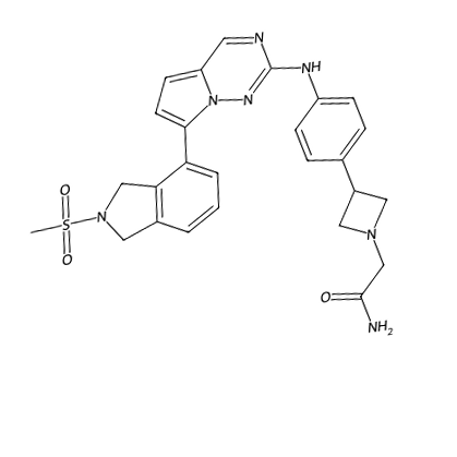 CS(=O)(=O)N1Cc2cccc(-c3ccc4cnc(Nc5ccc(C6CN(CC(N)=O)C6)cc5)nn34)c2C1